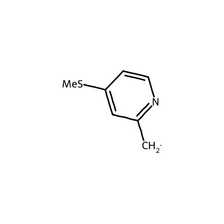 [CH2]c1cc(SC)ccn1